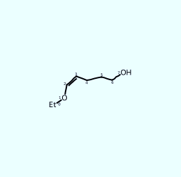 CCO/C=C\CCCO